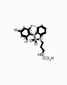 O=C(O)NCCCN1c2ccccc2N(c2c(F)cc(F)cc2F)S1(=O)=O